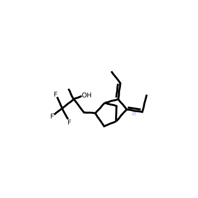 CC=C1/C(=C\C)C2CC(CC(C)(O)C(F)(F)F)C1C2